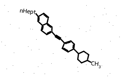 CCCCCCCc1ccc2cc(C#Cc3ccc(C4CCC(C)CC4)cc3)ccc2c1